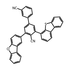 N#Cc1cccc(-c2cc(-c3ccc4oc5ccccc5c4c3)c(C#N)c(-c3cccc4c3sc3ccccc34)c2)c1